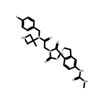 CNC(=O)Nc1ccc2c(c1)CC[C@@]21OC(=O)N(CC(=O)N(Cc2ccc(F)cc2)C2(C)CNC2)C1=O